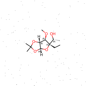 CC[C@@]1([C@@H](C)O)O[C@@H]2OC(C)(C)O[C@@H]2[C@H]1OC